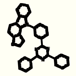 c1ccc(-c2nc(-c3ccccc3)nc(-c3cccc(-n4c5ccccc5c5ccc6occc6c54)c3)n2)cc1